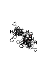 CC[C@H]1O[C@@H](O[C@@H]2[C@H]3OC(=O)C[C@@H]3C[C@H](C)[C@H]2O[C@H]2O[C@@H]3CCC(c4ccccc4)O[C@H]3[C@H](O)[C@H]2NC(=O)OCc2ccccc2)[C@H](O[Si](c2ccccc2)(c2ccccc2)C(C)(C)C)[C@@H]1O[C@H]1O[C@H]2CCC(c3ccccc3)O[C@H]2[C@H](O)[C@H]1NC(=O)OCc1ccccc1